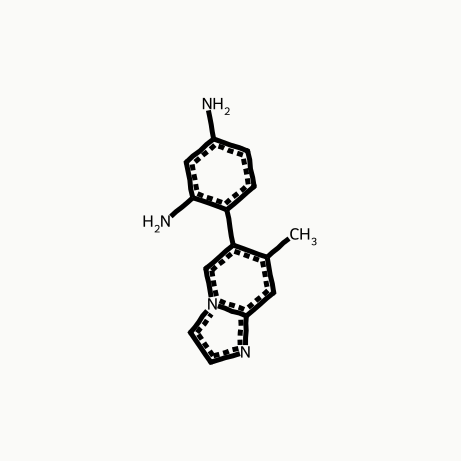 Cc1cc2nccn2cc1-c1ccc(N)cc1N